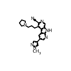 Cn1cc(-c2cnc3[nH]c4cnc(C#N)c(CCCN5CCCC5)c4c3c2)cn1